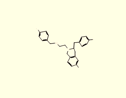 CC(C)(C)c1ccc(CNCCN2Cc3ccc(F)cc3CC2Cc2ccc(F)cc2)cc1